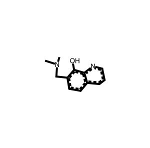 CN(C)Cc1ccc2cccnc2c1O